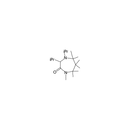 CC(C)C1C(=O)N(C)C(C)(C)C(C)(C)C(C)(C)N1C(C)C